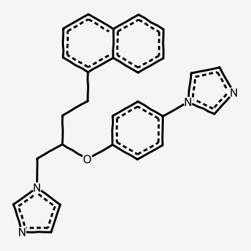 c1ccc2c(CCC(Cn3ccnc3)Oc3ccc(-n4ccnc4)cc3)cccc2c1